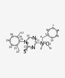 CO[N+](C)(Cc1ccccc1)c1ncn(-c2c(C)cccc2C)c(=S)n1